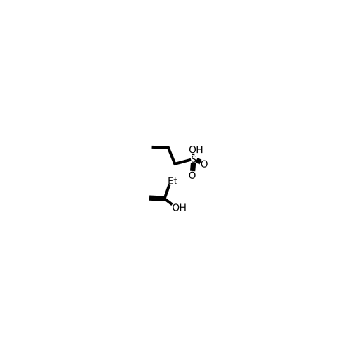 C=C(O)CC.CCCS(=O)(=O)O